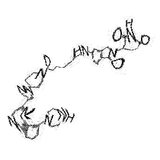 O=C1CCC(N2Cc3cc(NCCCCCC(=O)N4CCC(n5cc(-c6cnc7cccc(N8CCNCC8)c7n6)cn5)CC4)ccc3C2=O)C(=O)N1